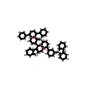 c1ccc(-c2ccc(-c3ccccc3N(c3ccc(-c4cccc(-n5c6ccccc6c6ccccc65)c4)cc3)c3ccccc3-c3cccc4oc5ccccc5c34)cc2)cc1